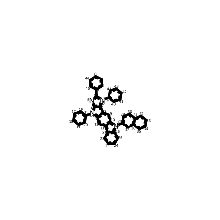 c1ccc(-c2nc3c(c4cc5c(cc4n3-c3ccccc3)c3ccccc3n5-c3ccc4ccccc4c3)n2-c2ccccc2)cc1